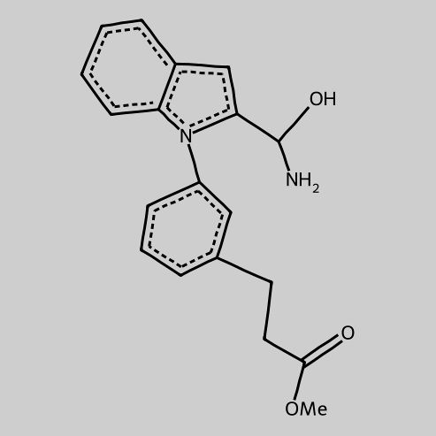 COC(=O)CCc1cccc(-n2c(C(N)O)cc3ccccc32)c1